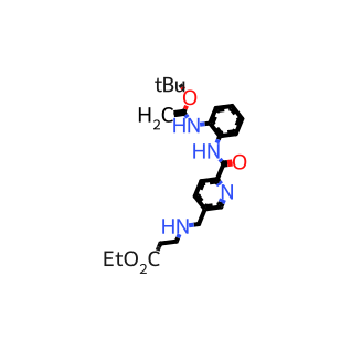 C=C(Nc1ccccc1NC(=O)c1ccc(CNCCC(=O)OCC)cn1)OC(C)(C)C